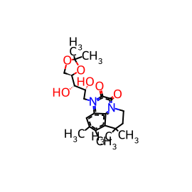 Cc1cc2c3c(c1C)C(C)(C)CCn3c(=O)c(=O)n2C[C@@H](O)[C@H](O)[C@H]1COC(C)(C)O1